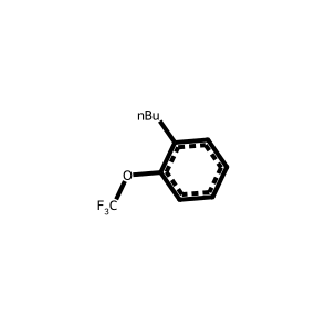 CCCCc1ccccc1OC(F)(F)F